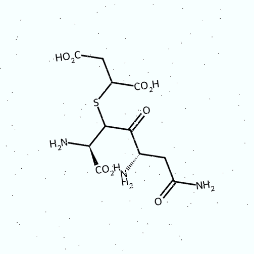 NC(=O)C[C@H](N)C(=O)C(SC(CC(=O)O)C(=O)O)[C@H](N)C(=O)O